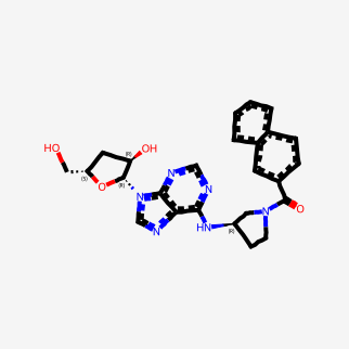 O=C(c1ccc2ccccc2c1)N1CC[C@@H](Nc2ncnc3c2ncn3[C@@H]2O[C@H](CO)C[C@H]2O)C1